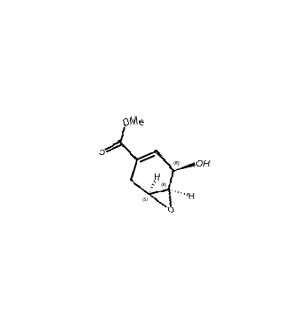 COC(=O)C1=C[C@@H](O)[C@H]2O[C@H]2C1